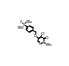 CC(C)(C)n1ncc(OCc2ccc(S(F)(C(C)(C)C)C(C)(C)C)cc2)c(Cl)c1=O